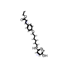 CCOC(=O)/C=C/c1ccc(OCCCCCCNC(=O)/C=C\C(=O)O)cc1